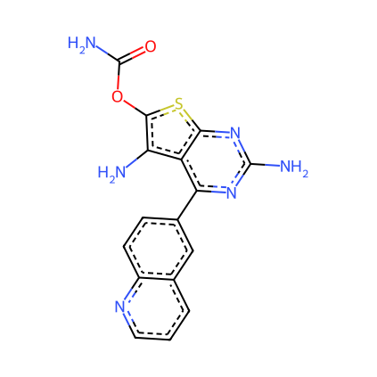 NC(=O)Oc1sc2nc(N)nc(-c3ccc4ncccc4c3)c2c1N